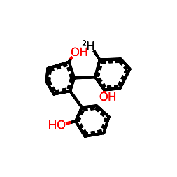 [2H]c1cccc(O)c1-c1c(O)cccc1-c1ccccc1O